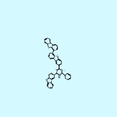 c1ccc(C2NC(c3ccc4oc5c(-c6cccc7c6sc6ccccc67)cccc5c4c3)=NC(c3ccc4oc5ccccc5c4c3)N2)cc1